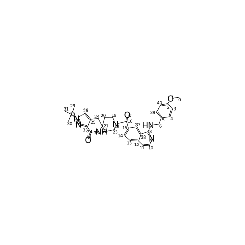 COc1ccc(CNc2nccc3ccc(C(=O)N4CCC5(CC4)Cc4cn(C(C)(C)C)nc4C(=O)N5)cc23)cc1